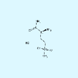 CS(=O)(=O)CC[C@H](N)C(N)=O.Cl